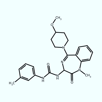 COC1CCN(C2=NC(NC(=O)Nc3cccc(C)c3)C(=O)N(C)c3ccccc32)CC1